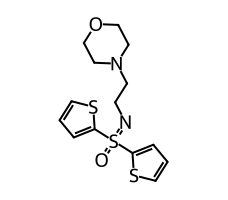 O=S(=NCCN1CCOCC1)(c1cccs1)c1cccs1